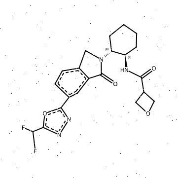 O=C(N[C@@H]1CCCC[C@H]1N1Cc2ccc(-c3nnc(C(F)F)o3)cc2C1=O)C1COC1